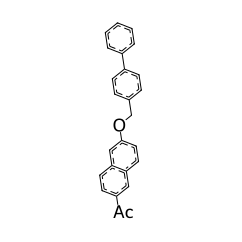 CC(=O)c1ccc2cc(OCc3ccc(-c4ccccc4)cc3)ccc2c1